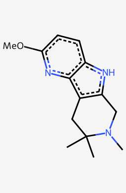 COc1ccc2[nH]c3c(c2n1)CC(C)(C)N(C)C3